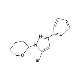 Brc1cc(-c2ccccc2)nn1C1CCCCO1